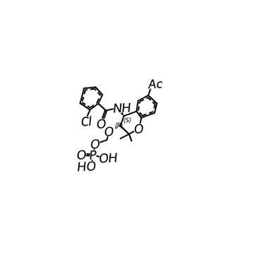 CC(=O)c1ccc2c(c1)[C@H](NC(=O)c1ccccc1Cl)[C@@H](OCOP(=O)(O)O)C(C)(C)O2